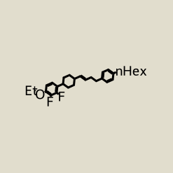 CCCCCCc1ccc(CC/C=C/C2CCC(c3ccc(OCC)c(F)c3F)CC2)cc1